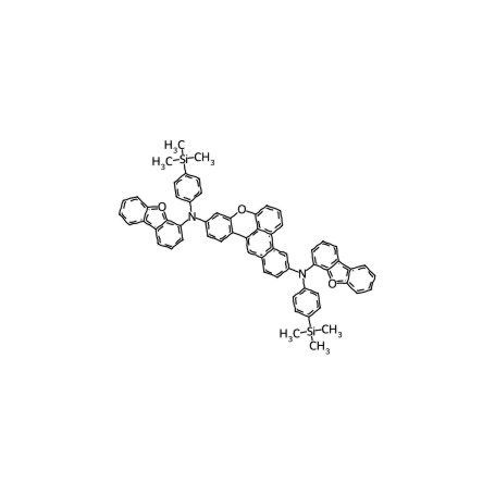 C[Si](C)(C)c1ccc(N(c2ccc3c(c2)Oc2cccc4c2c-3cc2ccc(N(c3ccc([Si](C)(C)C)cc3)c3cccc5c3oc3ccccc35)cc24)c2cccc3c2oc2ccccc23)cc1